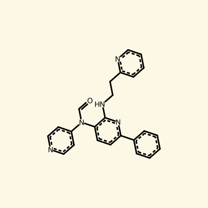 O=CN(c1ccncc1)c1ccc(-c2ccccc2)nc1NCCc1ccccn1